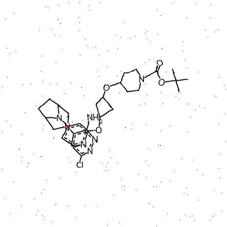 CC(C)(C)OC(=O)N1CCC(OC2CC(Oc3cc(N4C5CCC4CN(c4cc(Cl)nnc4N)C5)ccn3)C2)CC1